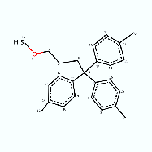 Cc1ccc(C(CCCO[SiH3])(c2ccc(C)cc2)c2ccc(C)cc2)cc1